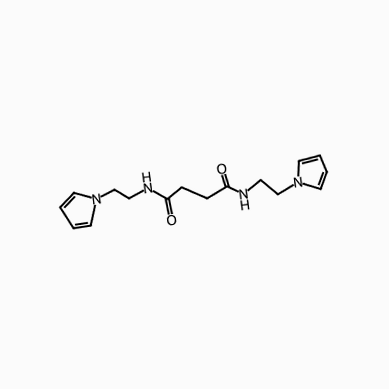 O=C(CCC(=O)NCCn1cccc1)NCCn1cccc1